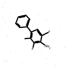 Cc1c(-c2ccccc2)cc(F)c(N)c1F